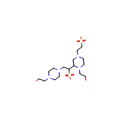 O=S(=O)([O-])CCN1CCN(CCO)C(C(CN2CCN(CCO)CC2)S(=O)(=O)[O-])C1.[Na+].[Na+]